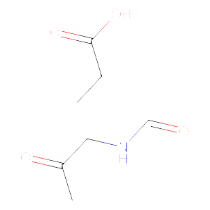 CC(=O)[C@H](CCC(=O)O)NC=O